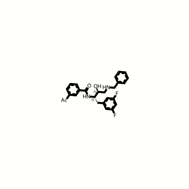 CC(=O)c1cccc(C(=O)N[C@@H](Cc2cc(F)cc(F)c2)[C@@H](O)CNCc2ccccc2)c1